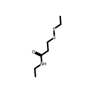 CCNC(=O)CCSSCC